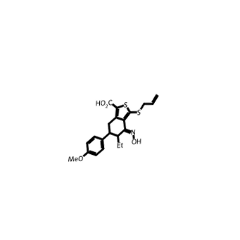 C=CCSc1sc(C(=O)O)c2c1C(=NO)C(CC)C(c1ccc(OC)cc1)C2